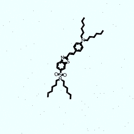 CCCCCCN(CCCCCC)c1ccc(C=Cc2nc3ccc(S(=O)(=O)N(CCCCCC)CCCCCC)cc3s2)cc1